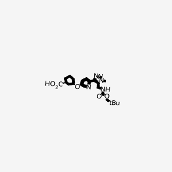 Cn1nnc(-c2ccc(O[C@H]3CCC[C@H](C(=O)O)C3)cn2)c1CNC(=O)OCC(C)(C)C